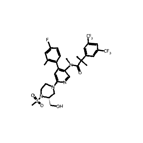 Cc1cc(F)ccc1-c1cc(N2CCN(S(C)(=O)=O)[C@@H](CO)C2)ncc1N(C)C(=O)C(C)(C)c1cc(C(F)(F)F)cc(C(F)(F)F)c1